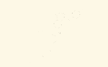 CCOC(=O)CCN1CCN(C/C=C/C(=O)Nc2cc3c(Nc4ccc(F)c(Cl)c4)ncnc3cc2OCC2CC2)CC1